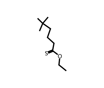 CCOC(=S)CCCC(C)(C)C